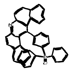 O=P(c1ccccc1)(c1ccccc1)c1cccc(-c2c3c(ccc4ccccc43)nc3ccc4ccccc4c23)c1